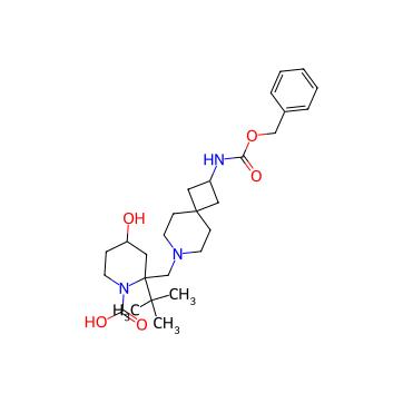 CC(C)(C)C1(CN2CCC3(CC2)CC(NC(=O)OCc2ccccc2)C3)CC(O)CCN1C(=O)O